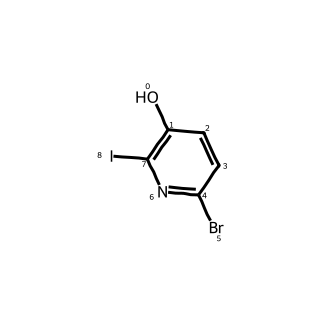 Oc1ccc(Br)nc1I